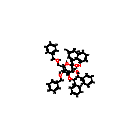 Cc1cc(C2(O)O[C@H](COCc3ccccc3)[C@@H](OCc3ccccc3)[C@H](OCc3ccccc3)[C@H]2OCc2ccccc2)c2ccccc2c1